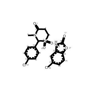 CN1C(=O)CCS(=O)(=O)C1c1ccc(Cl)cc1.O=c1[nH]c2cc(Cl)ccc2o1